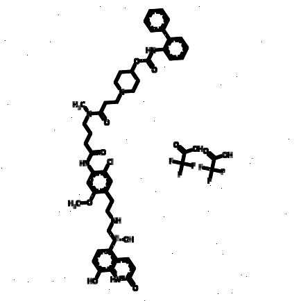 COc1cc(NC(=O)CCCN(C)C(=O)CCN2CCC(OC(=O)Nc3ccccc3-c3ccccc3)CC2)c(Cl)cc1CCNC[C@H](O)c1ccc(O)c2[nH]c(=O)ccc12.O=C(O)C(F)(F)F.O=C(O)C(F)(F)F